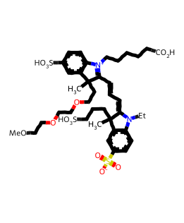 CCN1/C(=C/C=C/C2=[N+](CCCCCC(=O)O)c3ccc(S(=O)(=O)O)cc3C2(C)CCOCCOCCOC)C(C)(CCCS(=O)(=O)O)c2cc(S(=O)(=O)[O-])ccc21